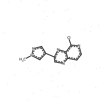 Cn1cc(-c2cnc3ccnc(Cl)c3n2)cn1